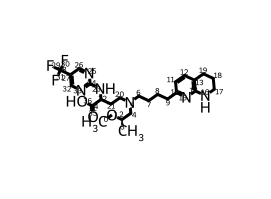 CO[C@H](C)CN(CCCCc1ccc2c(n1)NCCC2)CCC(Nc1ncc(C(F)(F)F)cn1)C(=O)O